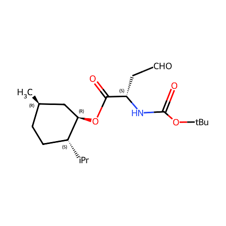 CC(C)[C@@H]1CC[C@@H](C)C[C@H]1OC(=O)[C@H](CC=O)NC(=O)OC(C)(C)C